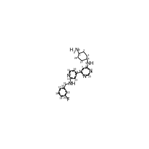 NC1CCC(Nc2cc(-c3ccnc(NCc4cccc(F)c4)c3)ncn2)CC1